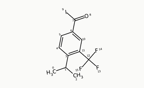 CC(C)c1ccc(C(=O)I)cc1C(F)(F)F